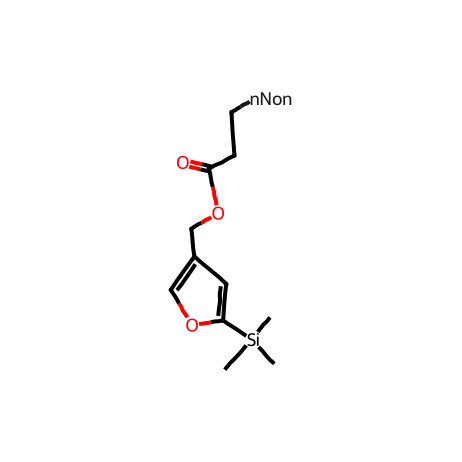 CCCCCCCCCCCC(=O)OCc1coc([Si](C)(C)C)c1